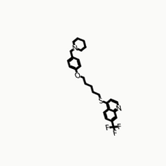 FC(F)(F)c1ccc2c(SCCCCCOc3ccc(CN4CCCCC4)cc3)ccnc2c1